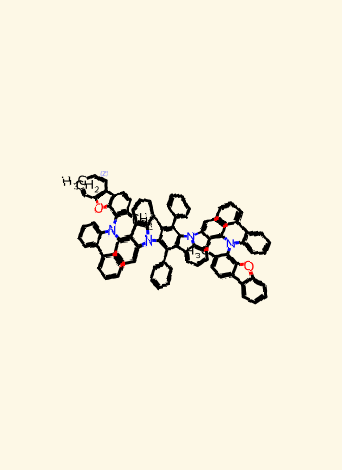 C=Cc1oc2c(N(c3ccccc3-c3ccccc3)c3cccc4c3c3cccc5c6c(-c7ccccc7)c7c(c(-c8ccccc8)c6n4c35)c3cccc4c5c(N(c6ccccc6-c6ccccc6)c6c(C)ccc8c6oc6ccccc68)cccc5n7c43)c(C)ccc2c1/C=C\C